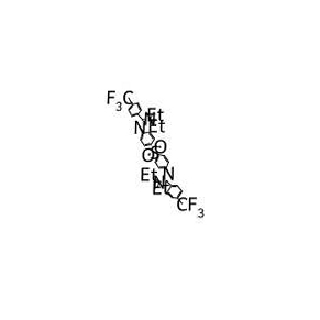 CCN(CC)C(=Nc1ccc(S(=O)(=O)c2ccc(N=C(c3ccc(C(F)(F)F)cc3)N(CC)CC)cc2)cc1)c1ccc(C(F)(F)F)cc1